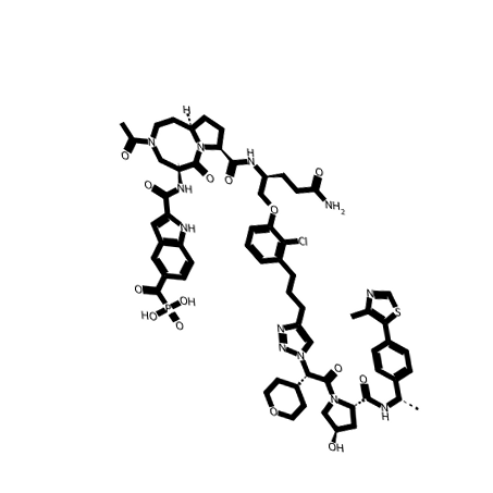 CC(=O)N1CC[C@H]2CC[C@@H](C(=O)N[C@@H](CCC(N)=O)COc3cccc(CCCc4cn([C@H](C(=O)N5C[C@H](O)C[C@H]5C(=O)N[C@@H](C)c5ccc(-c6scnc6C)cc5)C5CCOCC5)nn4)c3Cl)N2C(=O)[C@@H](NC(=O)c2cc3cc(C(=O)P(=O)(O)O)ccc3[nH]2)C1